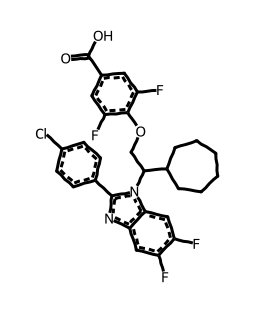 O=C(O)c1cc(F)c(OCC(C2CCCCCC2)n2c(-c3ccc(Cl)cc3)nc3cc(F)c(F)cc32)c(F)c1